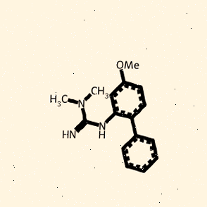 COc1ccc(-c2ccccc2)c(NC(=N)N(C)C)c1